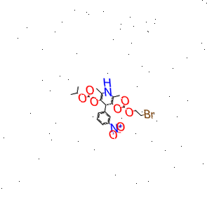 CC1=C(OC(=O)OCCBr)C(c2cccc([N+](=O)[O-])c2)C(OC(=O)OC(C)C)=C(C)N1